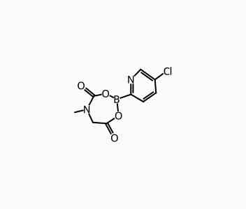 CN1CC(=O)OB(c2ccc(Cl)cn2)OC1=O